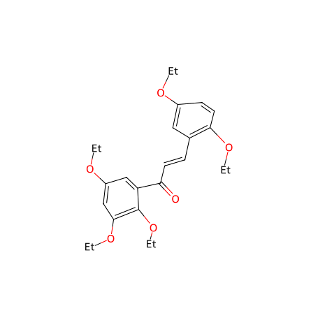 CCOc1ccc(OCC)c(C=CC(=O)c2cc(OCC)cc(OCC)c2OCC)c1